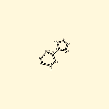 c1cnc(-c2nccs2)cn1